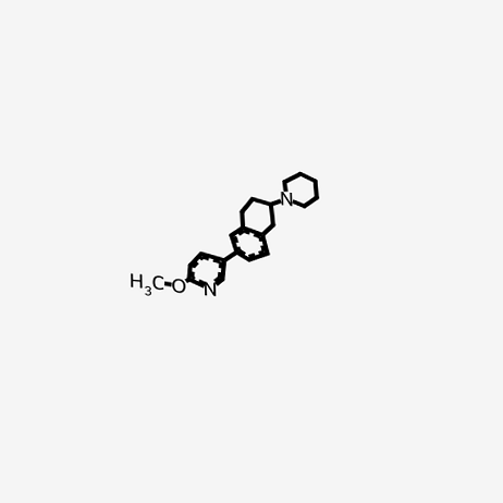 COc1ccc(-c2ccc3c(c2)CCC(N2CCCCC2)C3)cn1